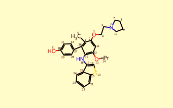 Cc1c(OCCN2CCCC2)cc(OC(C)C)c(Nc2csc3ccccc23)c1-c1ccc(O)cc1